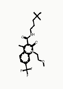 COCCn1c(=O)c(C(=O)NCCCC(C)(C)C)c(C)c2ccc(C(F)(F)F)cc21